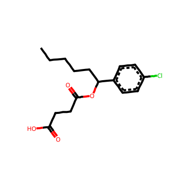 CCCCCC(OC(=O)CCC(=O)O)c1ccc(Cl)cc1